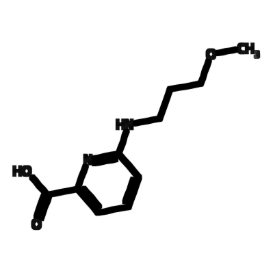 COCCCNc1cccc(C(=O)O)n1